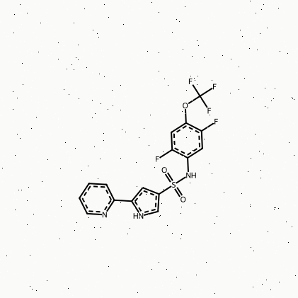 O=S(=O)(Nc1cc(F)c(OC(F)(F)F)cc1F)c1c[nH]c(-c2ccccn2)c1